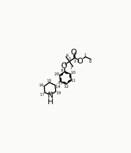 CCOC(=O)C(C)(C)Oc1cccc([C@H]2CCCNC2)c1